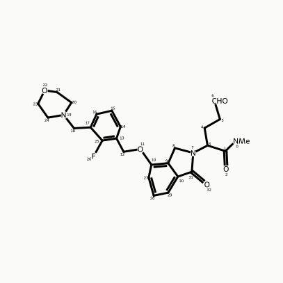 CNC(=O)C(CCC=O)N1Cc2c(OCc3cccc(CN4CCOCC4)c3F)cccc2C1=O